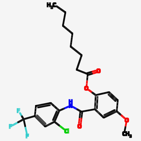 CCCCCCCC(=O)Oc1ccc(OC)cc1C(=O)Nc1ccc(C(F)(F)F)cc1Cl